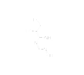 C=N/C=N\C(N)=C(/C)CC